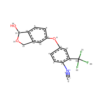 [C-]#[N+]c1ccc(Oc2ccc3c(c2)COB3O)cc1C(F)(F)F